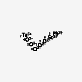 [O-2].[O-2].[O-2].[O-2].[O-2].[Pb+2].[Sc+3].[Ta+5]